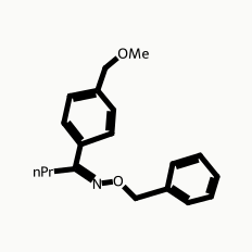 CCCC(=NOCc1ccccc1)c1ccc(COC)cc1